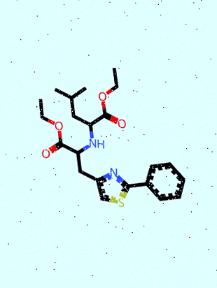 CCOC(=O)C(Cc1csc(-c2ccccc2)n1)NC(CC(C)C)C(=O)OCC